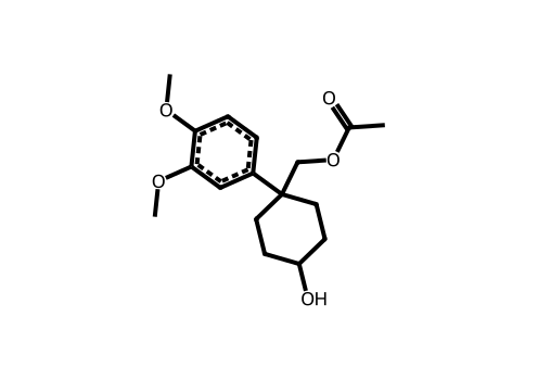 COc1ccc(C2(COC(C)=O)CCC(O)CC2)cc1OC